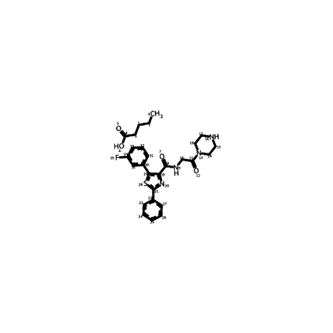 CCCCC(=O)O.O=C(NCC(=O)N1CCNCC1)c1nc(-c2ccccc2)sc1-c1cccc(F)c1